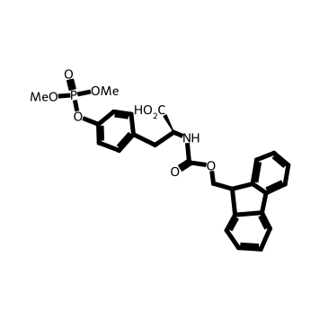 COP(=O)(OC)Oc1ccc(C[C@H](NC(=O)OCC2c3ccccc3-c3ccccc32)C(=O)O)cc1